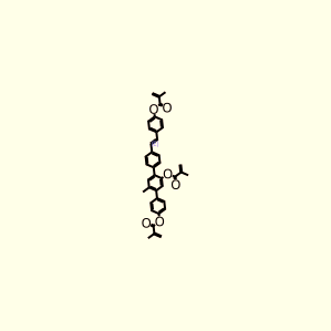 C=C(C)C(=O)Oc1ccc(/C=C/c2ccc(-c3cc(C)c(-c4ccc(OC(=O)C(=C)C)cc4)cc3OC(=O)C(=C)C)cc2)cc1